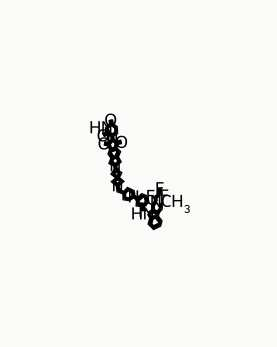 C[C@@H]1Cc2c([nH]c3ccccc23)[C@@H](c2c(F)cc(N3CCC(CN4CC5(CC(N6Cc7cc8c(cc7C6)C(=O)N(C6CCC(=O)NC6=O)C8=O)C5)C4)CC3)cc2F)N1CC(F)F